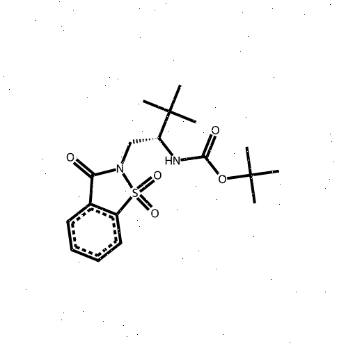 CC(C)(C)OC(=O)N[C@H](CN1C(=O)c2ccccc2S1(=O)=O)C(C)(C)C